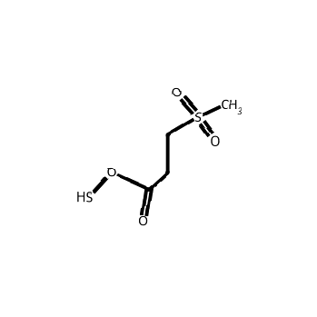 CS(=O)(=O)CCC(=O)OS